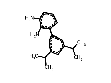 CC(C)c1cc(-c2cccc(N)c2N)cc(C(C)C)c1